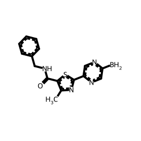 Bc1cnc(-c2nc(C)c(C(=O)NCc3ccccc3)s2)cn1